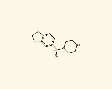 C[C@@H](c1ccc2c(c1)OCO2)N1CCNCC1